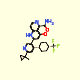 CC1(c2cc([C@H]3CC[C@@H](C(F)(F)F)CC3)c(-c3cc(=O)c4c(C(N)=O)nccc4[nH]3)cn2)CC1